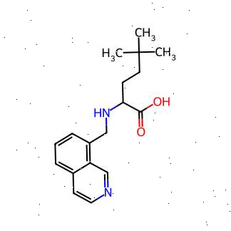 CC(C)(C)CCC(NCc1cccc2ccncc12)C(=O)O